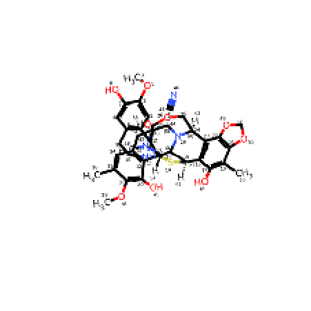 COc1cc2c(cc1O)CCN[C@]21CS[C@@H]2c3c(O)c(C)c4c(c3[C@H](COC1=O)N1C2[C@@H]2c3c(cc(C)c(OC)c3O)C[C@@H]([C@@H]1C#N)N2C)OCO4